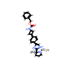 CC(C)(C)[C@]1(c2nc(-c3ccc(C4CC(NC(=O)OCc5ccccc5)C4)cc3)c[nH]2)CCCN1C(=O)O